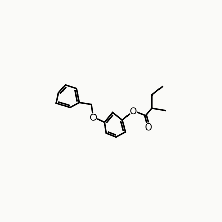 CCC(C)C(=O)Oc1cccc(OCc2ccccc2)c1